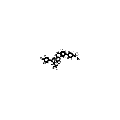 COC(=O)c1ccc(-c2ccc3c(c2)C[C@@H](N(C[C@@H](O)c2ccc(C)cc2)C(=O)OC(C)(C)C)CC3)cc1